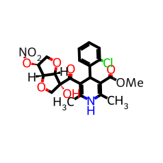 COC(=O)C1=C(C)NC(C)=C(C(=O)[C@@]2(O)CO[C@@H]3[C@@H](O[N+](=O)[O-])CO[C@@H]32)C1c1ccccc1Cl